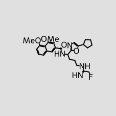 COc1cc2c(OC)cccc2cc1C(=O)NC(CCCNC(=N)CF)c1ncc(C2CCCC2)o1